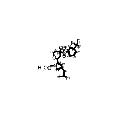 COCn1nc(C=C(F)F)cc1C1CC(C)(S(=O)(=O)c2cccc(C(F)(F)F)c2)CCO1